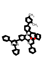 Cc1ccc(-c2ccc3c(c2)c2ccccc2n3-c2ccc(-c3cc(-c4ccccc4)nc(-c4ccccc4)n3)cc2-c2nc(-c3ccccc3)cc(-c3ccccc3)n2)c(C)c1